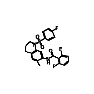 Cc1cc2c(cc1NC(=O)c1c(F)cccc1F)N(S(=O)(=O)c1ccc(F)cc1)CCC2